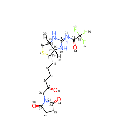 O=C(CCCC[C@@H]1SC[C@@H]2N/C(=N/C(=O)C(F)(F)F)N[C@@H]21)CN1C(=O)CCC1=O